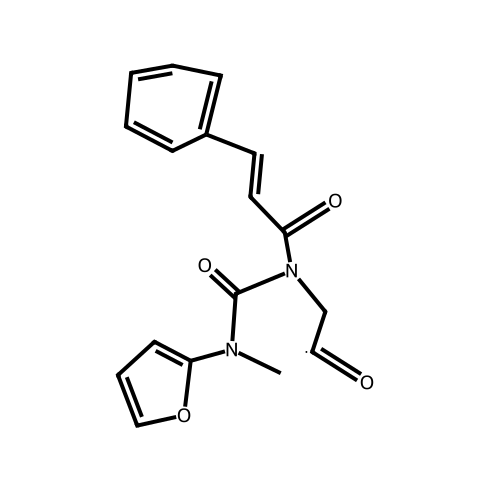 CN(C(=O)N(C[C]=O)C(=O)C=Cc1ccccc1)c1ccco1